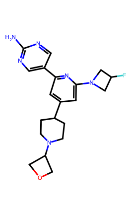 Nc1ncc(-c2cc(C3CCN(C4COC4)CC3)cc(N3CC(F)C3)n2)cn1